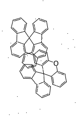 c1ccc2c(c1)Oc1ccc(-c3cccc4c3C3(c5ccccc5-4)c4ccccc4-c4ccc5ccccc5c43)cc1C21c2ccccc2-c2ccccc21